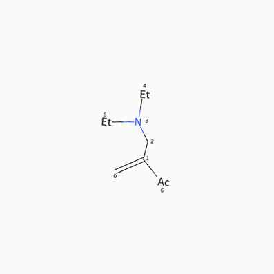 C=C(CN(CC)CC)C(C)=O